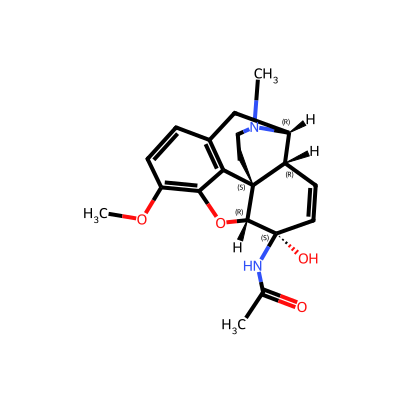 COc1ccc2c3c1O[C@@H]1[C@]34CCN(C)[C@H](C2)[C@@H]4C=C[C@@]1(O)NC(C)=O